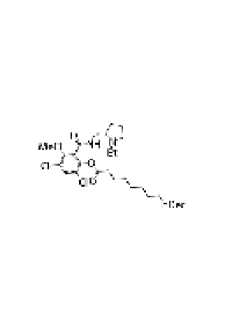 CCCCCCCCCCCCCCCCCC(=O)Oc1c(Cl)cc(Cl)c(OC)c1C(=O)NC[C@@H]1CCCN1CC